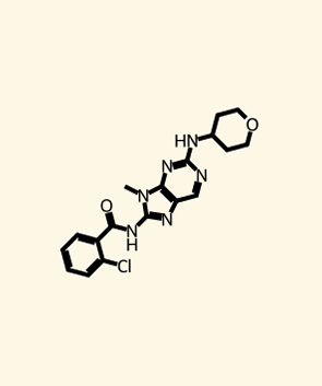 Cn1c(NC(=O)c2ccccc2Cl)nc2cnc(NC3CCOCC3)nc21